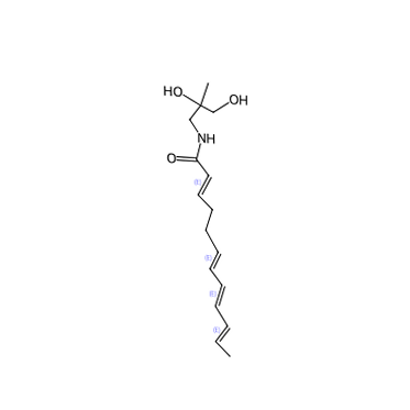 C/C=C/C=C/C=C/CC/C=C/C(=O)NCC(C)(O)CO